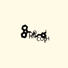 O=C(N[C@@H](Cc1cc(F)cc(I)c1)C(=O)O)OCC1=C2CC=CC=C2c2ccccc21